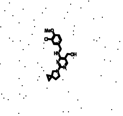 COc1ccc(CNc2nc(N3CCC4(CC4)C3)ncc2CO)cc1Cl